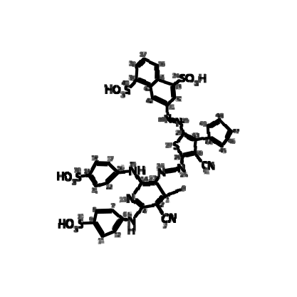 Cc1c(C#N)c(Nc2ccc(S(=O)(=O)O)cc2)nc(Nc2ccc(S(=O)(=O)O)cc2)c1N=Nc1sc(/N=N/c2cc(S(=O)(=O)O)c3cccc(S(=O)(=O)O)c3c2)c(-c2ccccc2)c1C#N